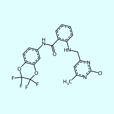 Cc1cc(CNc2ccccc2C(=O)Nc2ccc3c(c2)OC(F)(F)C(F)(F)O3)nc(Cl)n1